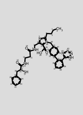 CCCCc1nc(CNC(=O)CCNC(=O)[C@@H](S)Cc2ccccc2)c(C(=O)O)n1Cc1ccc(-c2ccccc2-c2nnn[nH]2)cc1